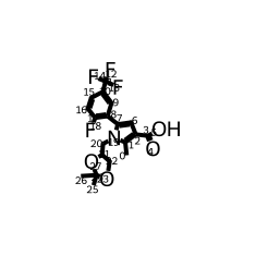 Cc1c(C(=O)O)cc(-c2cc(C(F)(F)F)ccc2F)n1CC1COC(C)(C)O1